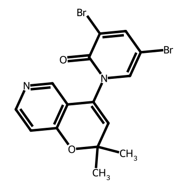 CC1(C)C=C(n2cc(Br)cc(Br)c2=O)c2cnccc2O1